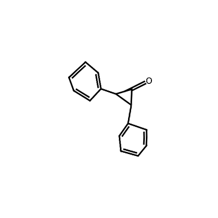 O=C1C(c2ccccc2)C1c1ccccc1